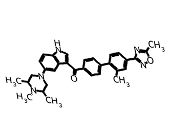 Cc1nc(-c2ccc(-c3ccc(C(=O)c4c[nH]c5ccc(N6CC(C)N(C)C(C)C6)cc45)cc3)c(C)c2)no1